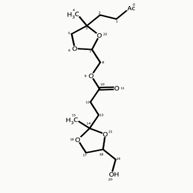 CC(=O)CCC1(C)COC(COC(=O)CCC2(C)OCC(CO)O2)O1